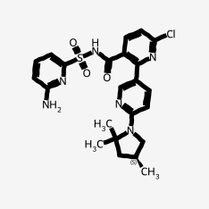 C[C@@H]1CN(c2ccc(-c3nc(Cl)ccc3C(=O)NS(=O)(=O)c3cccc(N)n3)cn2)C(C)(C)C1